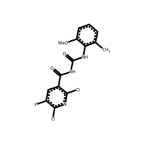 COc1cccc(C)c1NC(=O)NC(=O)c1cc(F)c(Cl)nc1Cl